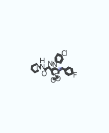 O=C(NN1CCCCC1)c1nn(-c2ccc(Cl)cc2)c2c1CS(=O)(=O)C/C2=C\c1ccc(F)cc1